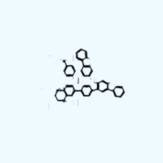 Cc1cc2c3c4c1c1cc5c(cc1n4-c1cc4sc6ccccc6c4cc1B3N(c1ccc(C(C)(C)C)cc1)c1cc3c(cc1-2)C(C)(C)CCC3(C)C)oc1ccccc15